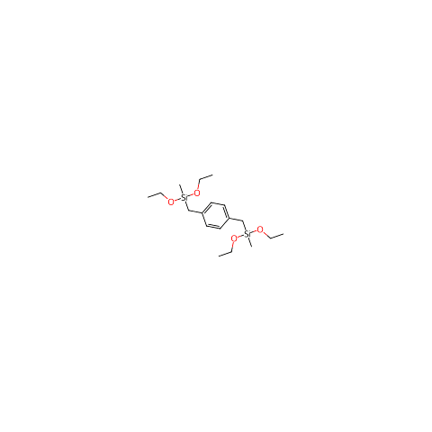 CCO[Si](C)(Cc1ccc(C[Si](C)(OCC)OCC)cc1)OCC